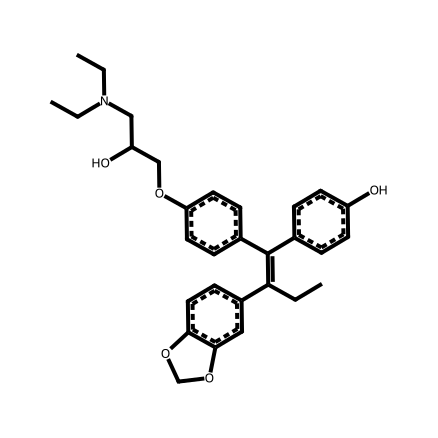 CCC(=C(c1ccc(O)cc1)c1ccc(OCC(O)CN(CC)CC)cc1)c1ccc2c(c1)OCO2